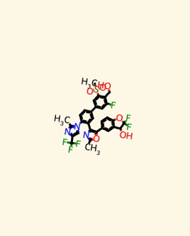 Cc1nc(-c2cc(-c3cc(F)c(CO)c(S(C)(=O)=O)c3)ccc2-n2cc(C(F)(F)F)nc2C)c(-c2ccc3c(c2)C(O)C(F)(F)O3)o1